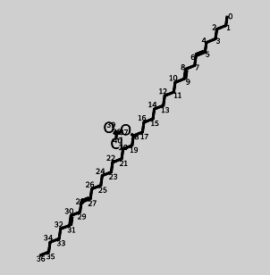 CCCCCC=CCC=CCCCCCCCCC(CCCCCCCCC=CCC=CCCCCC)OC(=O)Cl